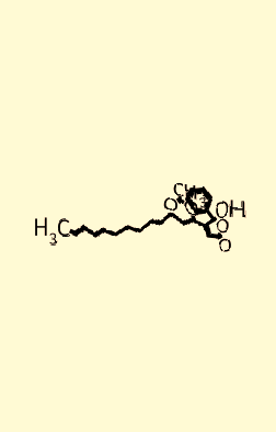 CCCCCCCCCCCCC(OC(C)=O)C1=CC(=O)OC1(O)c1ccccc1